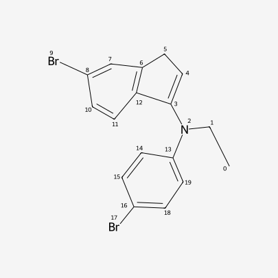 CCN(C1=CCc2cc(Br)ccc21)c1ccc(Br)cc1